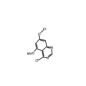 CCOc1cc(OC)c2c(Cl)ncnc2c1